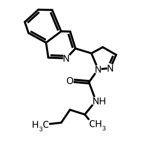 CCCC(C)NC(=O)N1N=CCC1c1cc2ccccc2cn1